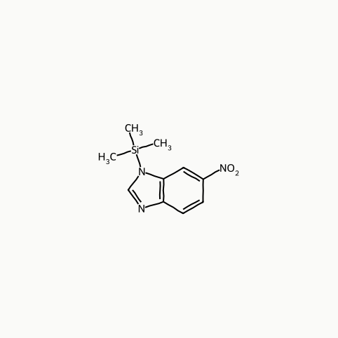 C[Si](C)(C)n1cnc2ccc([N+](=O)[O-])cc21